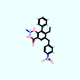 CCc1c(Cc2ccc([N+](=O)[O-])cc2)cc(C(=O)O)c(ONC)c1-c1ccccc1